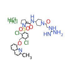 Cc1ccc2cccc(OCc3c(Cl)ccc(S(=O)(=O)N4CCC[C@H]4C(=O)NC4CCN(C(=O)CNC(=N)N)CC4)c3Cl)c2n1.Cl.Cl